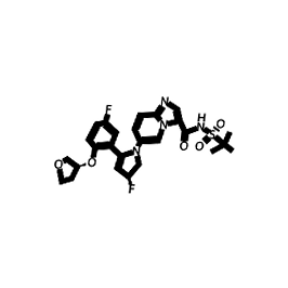 CC(C)(C)S(=O)(=O)NC(=O)c1cnc2ccc(N3C[C@@H](F)C=C3c3cc(F)ccc3O[C@@H]3CCOC3)cn12